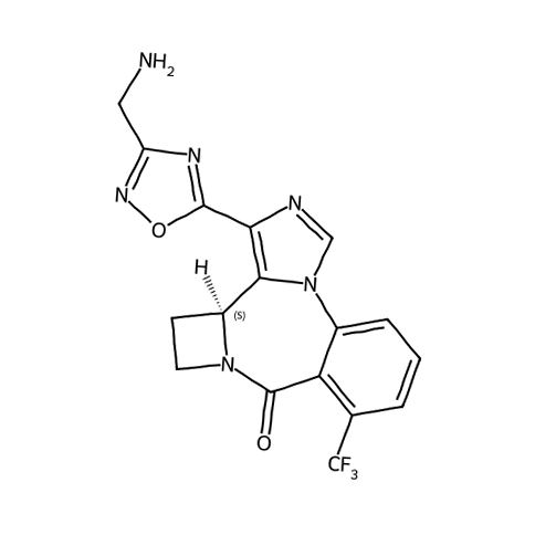 NCc1noc(-c2ncn3c2[C@@H]2CCN2C(=O)c2c-3cccc2C(F)(F)F)n1